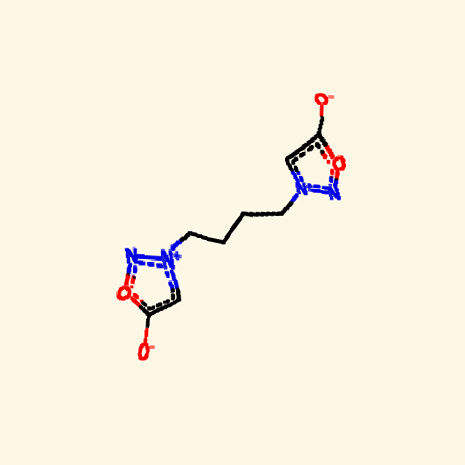 [O-]c1c[n+](CCCC[n+]2cc([O-])on2)no1